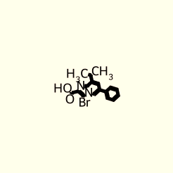 CC(C)c1cc(-c2ccccc2)cn2c(Br)c(C(=O)O)nc12